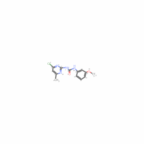 Cc1cc(Cl)nc(NC(=O)Nc2cccc(OC(F)(F)F)c2)n1